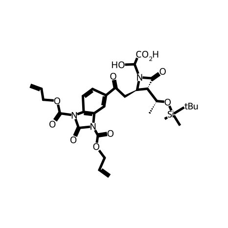 C=CCOC(=O)n1c(=O)n(C(=O)OCC=C)c2cc(C(=O)C[C@@H]3[C@@H]([C@@H](C)O[Si](C)(C)C(C)(C)C)C(=O)N3C(O)C(=O)O)ccc21